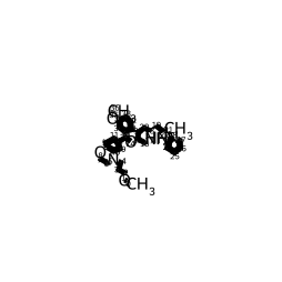 COCCCN1CCOc2ccc(CO[C@H]3CN[C@H](C[C@@H](C)Nc4ccccn4)C[C@@H]3c3ccc(OC)cc3)cc21